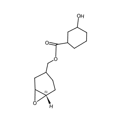 O=C(OCC1CC[C@@H]2OC2C1)C1CCCC(O)C1